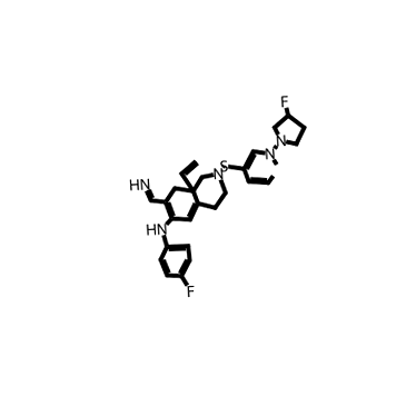 C=CC12CC(C=N)=C(Nc3ccc(F)cc3)C=C1CCN(SC(/C=C\C)=C/N(C)N1CCC(F)C1)C2